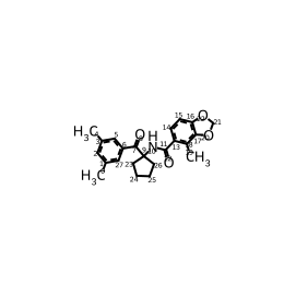 Cc1cc(C)cc(C(=O)C2(NC(=O)c3ccc4c(c3C)OCO4)CCCC2)c1